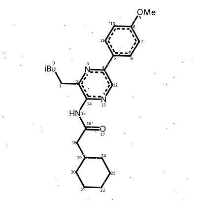 CCC(C)Cc1nc(-c2ccc(OC)cc2)cnc1NC(=O)CC1CCCCC1